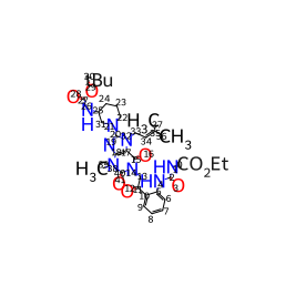 CCOC(=O)NC(=O)Nc1ccccc1C(=O)Cn1c(=O)c2c(nc(N3CCCC(NC(=O)OC(C)(C)C)C3)n2CC=C(C)C)n(C)c1=O